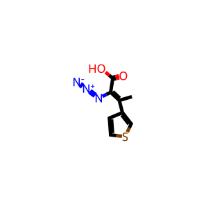 CC(=C(N=[N+]=[N-])C(=O)O)c1ccsc1